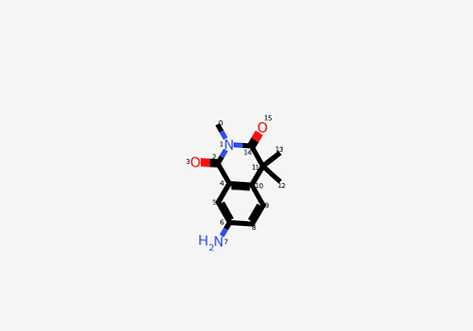 CN1C(=O)c2cc(N)ccc2C(C)(C)C1=O